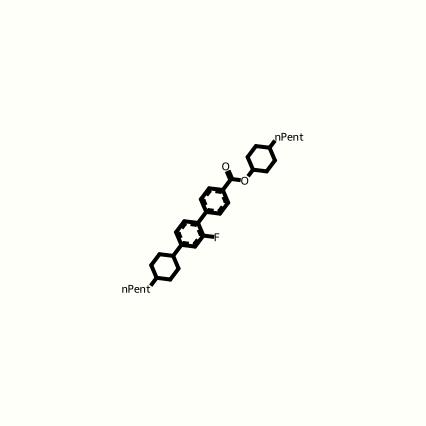 CCCCCC1CCC(OC(=O)c2ccc(-c3ccc(C4CCC(CCCCC)CC4)cc3F)cc2)CC1